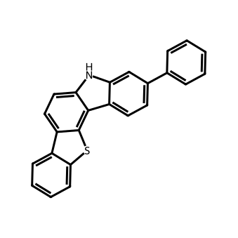 c1ccc(-c2ccc3c(c2)[nH]c2ccc4c5ccccc5sc4c23)cc1